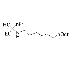 [CH2]CC(O)(CCC)NCCCCCCCCCCCCCC